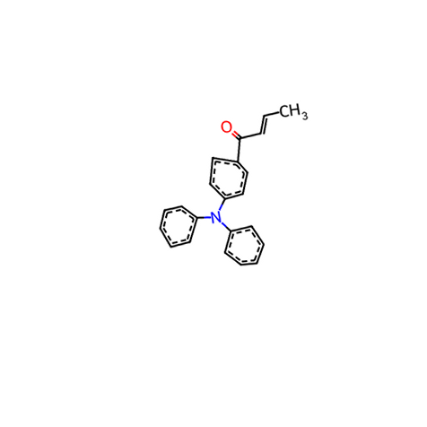 CC=CC(=O)c1ccc(N(c2ccccc2)c2ccccc2)cc1